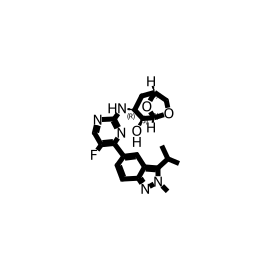 CC(C)c1c2cc(-c3nc(N[C@@H]4C[C@H]5CO[C@H](O5)[C@H]4O)ncc3F)ccc2nn1C